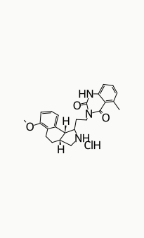 COc1cccc2c1CC[C@H]1CNC(CCn3c(=O)[nH]c4cccc(C)c4c3=O)[C@@H]21.Cl